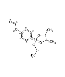 CCO[Si](OCC)(OCC)c1ccc(OC=O)cc1